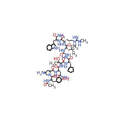 CNC(=N)NCCC[C@H](NC(=O)[C@H](CC(C)C)NC(=O)NNC(=O)[C@H](Cc1ccccc1)NC(=O)[C@@H](NC(=O)[C@H](CC(N)=O)NC(=O)[C@@H]1C[C@H](N)CN1C(=O)[C@@H](Cc1ccc(O)cc1)NC(C)=O)[C@@H](C)O)C(=O)N[C@@H](Cc1c[nH]c2ccccc12)C(N)=O